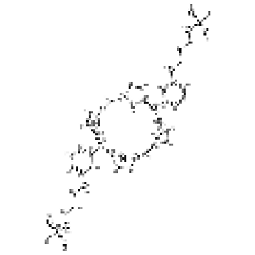 CS(=O)(=O)OCCCOc1cccc(-c2c3nc(cc4ccc([nH]4)c(-c4cccc(OCCCOS(C)(=O)=O)c4)c4nc(cc5ccc2[nH]5)C=C4)C=C3)c1